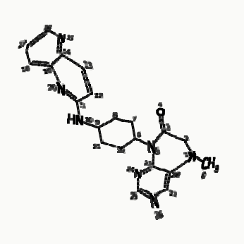 CN1CC(=O)N(C2CCC(Nc3ccc4ncccc4n3)CC2)c2ncncc21